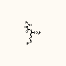 CC(C)NNC(=O)OC(CCSSC(C)C)S(=O)(=O)O